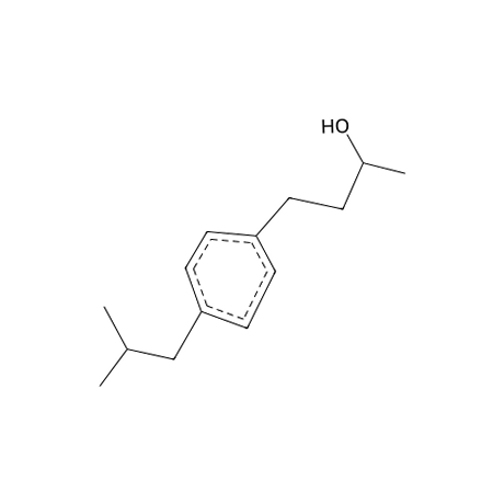 CC(C)Cc1ccc(CCC(C)O)cc1